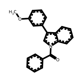 COc1cccc(-c2cn(C(=O)c3ccccc3)c3ccccc23)c1